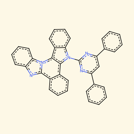 c1ccc(-c2cc(-c3ccccc3)nc(-n3c4ccccc4c4c3c3ccccc3c3nc5ccccc5n34)n2)cc1